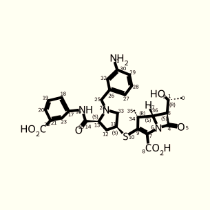 C[C@@H](O)[C@H]1C(=O)N2C(C(=O)O)=C(S[C@H]3C[C@@H](C(=O)Nc4cccc(C(=O)O)c4)N(Cc4cccc(N)c4)C3)[C@H](C)[C@H]12